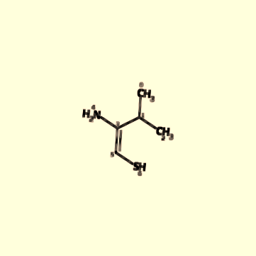 CC(C)/C(N)=C\S